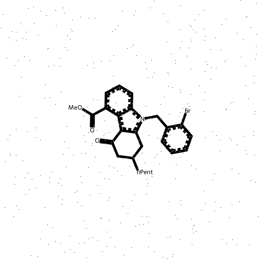 CCCCCC1CC(=O)c2c(n(Cc3ccccc3Br)c3cccc(C(=O)OC)c23)C1